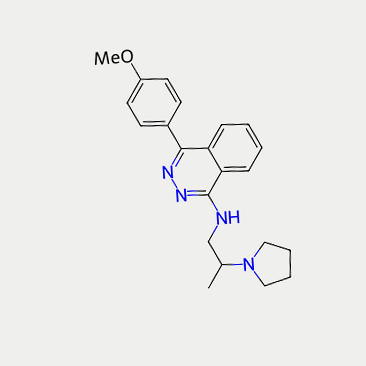 COc1ccc(-c2nnc(NCC(C)N3CCCC3)c3ccccc23)cc1